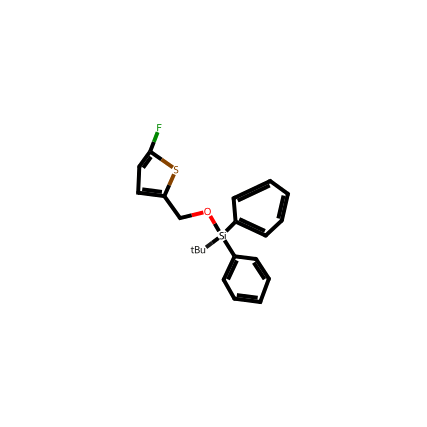 CC(C)(C)[Si](OCc1ccc(F)s1)(c1ccccc1)c1ccccc1